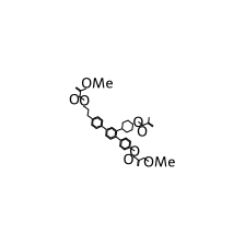 C=C(C)C(=O)OC1CCC(c2cc(-c3ccc(CCCOC(=O)C(=C)COC)cc3)ccc2-c2ccc(OC(=O)C(=C)COC)cc2)CC1